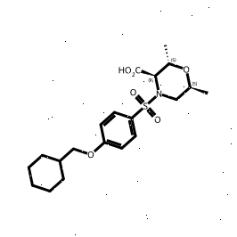 C[C@@H]1O[C@@H](C)CN(S(=O)(=O)c2ccc(OCC3CCCCC3)cc2)[C@H]1C(=O)O